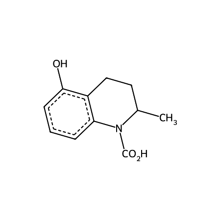 CC1CCc2c(O)cccc2N1C(=O)O